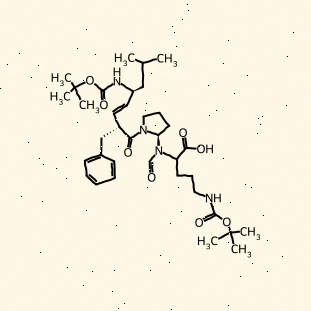 CC(C)C[C@@H](/C=C/[C@@H](Cc1ccccc1)C(=O)N1CCC[C@H]1N(C=O)C(CCCNC(=O)OC(C)(C)C)C(=O)O)NC(=O)OC(C)(C)C